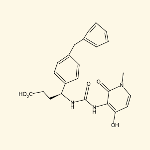 Cn1ccc(O)c(NC(=O)N[C@@H](CCC(=O)O)c2ccc(Cc3ccccc3)cc2)c1=O